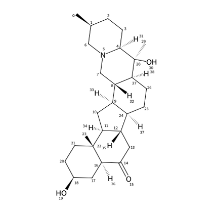 C[C@H]1CC[C@@H]2N(C1)C[C@H]1[C@@H]3C[C@H]4[C@@H](CC(=O)[C@H]5C[C@@H](O)CC[C@@]54C)[C@@H]3CC[C@@H]1[C@]2(C)O